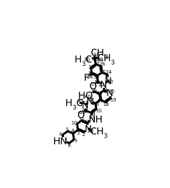 CN1C=C(C2CCNCC2)CC=C1Nc1cc(-c2ccnc(-n3ncc4cc(C(C)(C)C)cc(F)c4c3=O)c2CO)nn(C)c1=O